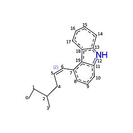 CCC(C)C/C=C\c1cccc2[nH]c3ccccc3c12